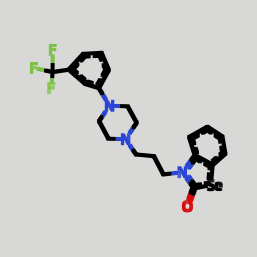 O=c1[se]c2ccccc2n1CCCN1CCN(c2cccc(C(F)(F)F)c2)CC1